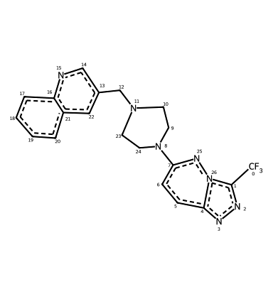 FC(F)(F)c1nnc2ccc(N3CCN(Cc4cnc5ccccc5c4)CC3)nn12